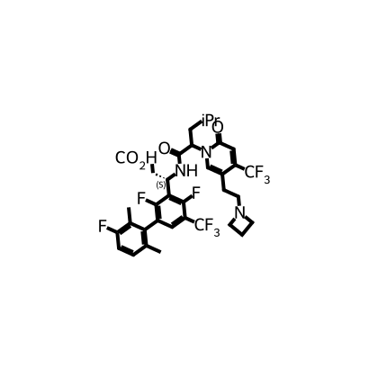 Cc1ccc(F)c(C)c1-c1cc(C(F)(F)F)c(F)c([C@H](CC(=O)O)NC(=O)C(CC(C)C)n2cc(CCN3CCC3)c(C(F)(F)F)cc2=O)c1F